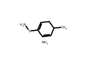 CC1C=CC(SN)=CC1.N